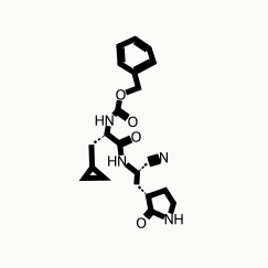 N#C[C@H](C[C@@H]1CCNC1=O)NC(=O)[C@H](CC1CC1)NC(=O)OCc1ccccc1